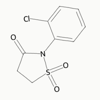 O=C1CCS(=O)(=O)N1c1ccccc1Cl